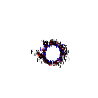 C#CC[C@@H]1NC(=O)[C@H](Cc2cccc(I)c2)NC(=O)CN(C)C(=O)[C@H](Cc2ccc(OCC(F)(F)F)cc2)N(C)C(=O)[C@@H]2CCN2C(=O)CN(C)C(=O)[C@H]([C@@H](C)CC)NC(=O)[C@H](CC(C)C)N(C)C(=O)C[C@@H](C(=O)N2CCCCC2)N(C)C(=O)[C@H](CC(C)C)NC(=O)C(C)(C)N(C)C1=O